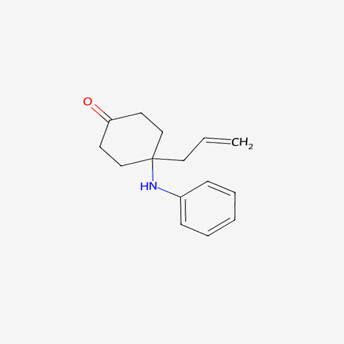 C=CCC1(Nc2ccccc2)CCC(=O)CC1